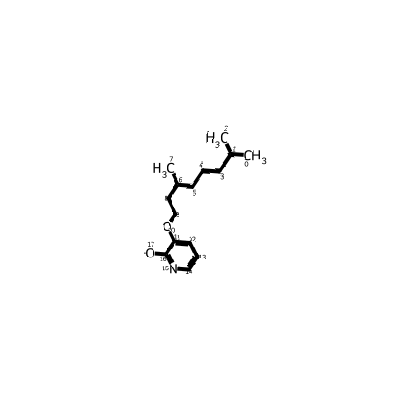 CC(C)CCCC(C)CCOc1cccnc1[O]